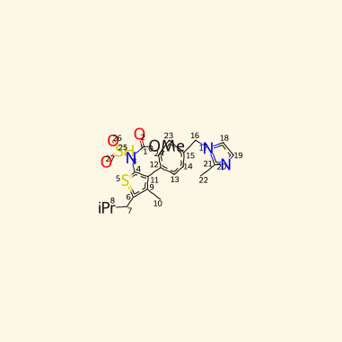 COC(=O)N(c1sc(CC(C)C)c(C)c1-c1ccc(Cn2ccnc2C)cc1)[SH](=O)=O